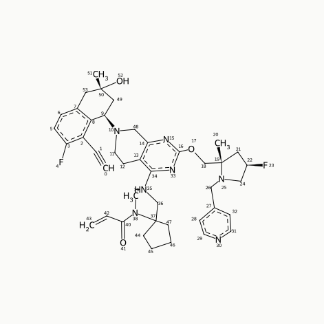 C#Cc1c(F)ccc2c1[C@H](N1CCc3c(nc(OC[C@]4(C)C[C@@H](F)CN4Cc4ccncc4)nc3NCC3(N(C)C(=O)C=C)CCCC3)C1)C[C@@](C)(O)C2